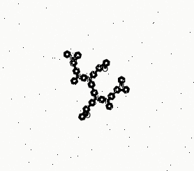 c1ccc(N(c2ccc(-c3ccc4c(c3)c3ccccc3n4-c3ccccc3)cc2)c2ccc(N(c3ccc(-c4ccc(N(c5ccc(-c6ccc7c(c6)oc6ccccc67)cc5)c5ccc(N(c6ccccc6)c6ccc(-c7ccc8c(c7)c7ccccc7n8-c7ccccc7)cc6)cc5)cc4)cc3)c3ccc(-c4ccc5c(c4)oc4ccccc45)cc3)cc2)cc1